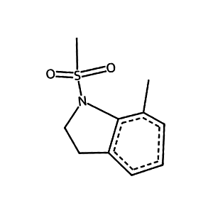 Cc1cccc2c1N(S(C)(=O)=O)CC2